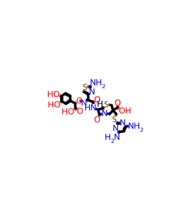 Nc1cc(N)nc(SCC2(C(=O)O)CS[C@@H]3C(NC(=O)C(=NOC(C(=O)O)c4ccc(O)c(O)c4)c4csc(N)n4)C(=O)N3C2)n1